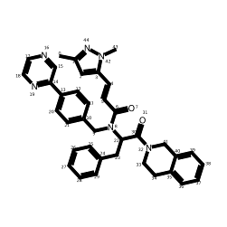 Cc1cc(C=CC(=O)N(Cc2ccc(-c3cnccn3)cc2)C(Cc2ccccc2)C(=O)N2CCc3ccccc3C2)n(C)n1